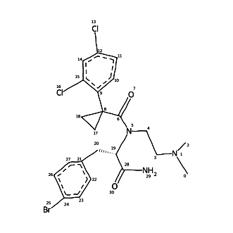 CN(C)CCN(C(=O)C1(c2ccc(Cl)cc2Cl)CC1)[C@@H](Cc1ccc(Br)cc1)C(N)=O